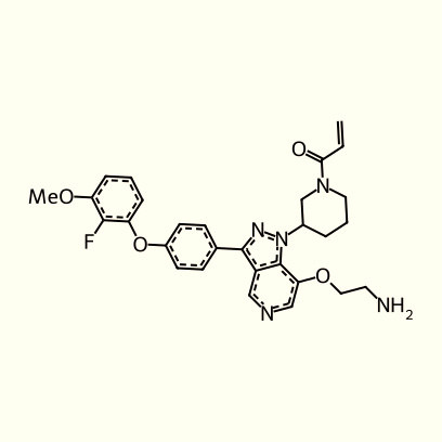 C=CC(=O)N1CCCC(n2nc(-c3ccc(Oc4cccc(OC)c4F)cc3)c3cncc(OCCN)c32)C1